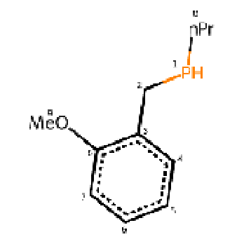 CCCPCc1ccccc1OC